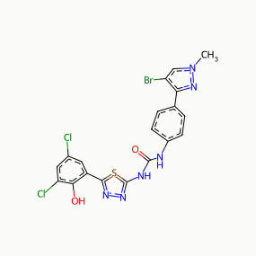 Cn1cc(Br)c(-c2ccc(NC(=O)Nc3nnc(-c4cc(Cl)cc(Cl)c4O)s3)cc2)n1